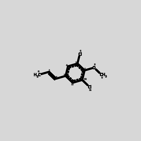 CC=Cc1cc(Cl)c(OC)c(Cl)c1